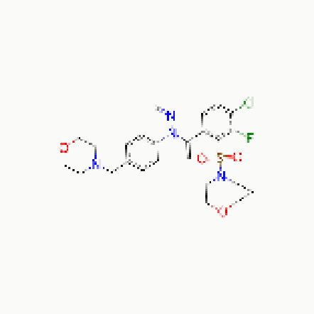 C=NN(C(=C)c1ccc(Cl)c(F)c1S(=O)(=O)N1CCOC2CC21)c1ccc(CN2CCOCC2)cc1